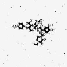 CCN1CCN(C(=O)N[C@@H](C(=O)N[C@]2(NC=O)C(=O)N3C(C(=O)[O-])=C(CSc4cc[n+](N)cc4)CS[C@@H]32)c2ccc(O)c(O)c2)C(=O)C1=O